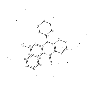 O=Nc1c(C(C2=NC=CCC2)N2CCCCC2)cc(Cl)c2cccnc12